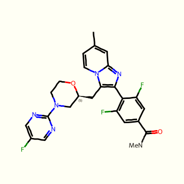 CNC(=O)c1cc(F)c(-c2nc3cc(C)ccn3c2C[C@H]2CN(c3ncc(F)cn3)CCO2)c(F)c1